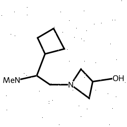 CNC(CN1CC(O)C1)C1CCC1